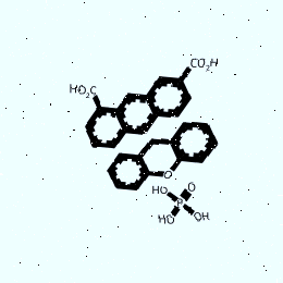 O=C(O)c1ccc2cc3cccc(C(=O)O)c3cc2c1.O=P(O)(O)O.c1ccc2c(c1)Cc1ccccc1O2